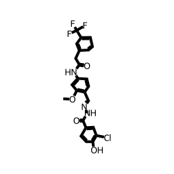 COc1cc(NC(=O)Cc2cccc(C(F)(F)F)c2)ccc1/C=N/NC(=O)c1ccc(O)c(Cl)c1